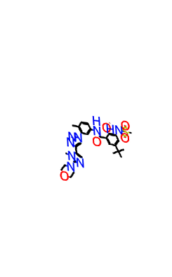 COc1c(NS(C)(=O)=O)cc(C(C)(C)C)cc1C(=O)Nc1ccc(C)c(-n2cc(-c3cnc(N4CCOCC4)n3C)nn2)c1